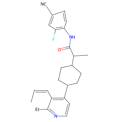 C/C=C\c1c(C2CCC(C(C)C(=O)Nc3ccc(C#N)cc3F)CC2)ccnc1CC